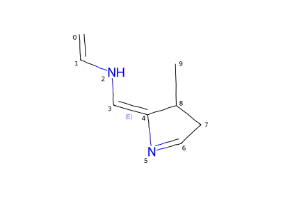 C=CN/C=C1/N=CCC1C